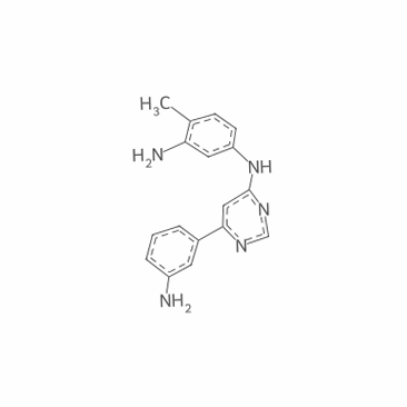 Cc1ccc(Nc2cc(-c3cccc(N)c3)ncn2)cc1N